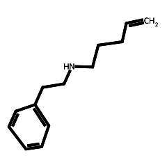 C=CCCCNCCc1ccccc1